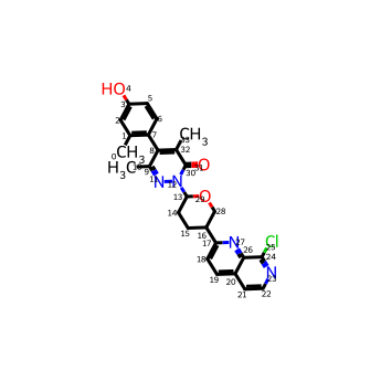 Cc1cc(O)ccc1-c1c(C)nn(C2CCC(c3ccc4ccnc(Cl)c4n3)CO2)c(=O)c1C